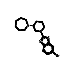 Brc1ccc2nc(N3CCC[C@@H](N4CCCCCC4)C3)sc2c1